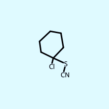 N#CSC1(Cl)CCCCC1